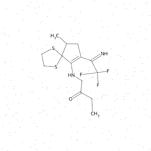 CCC(=O)CNC1=C(C(=N)C(F)(F)F)CC(C)C12SCCS2